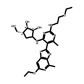 CCOCCNc1nc(C)c(-c2nc3c(C)nc(OCC)cc3s2)c(NC2C[C@H](CO)[C@@H](O)[C@H]2O)n1